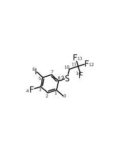 Cc1cc(F)c(I)cc1SCC(F)(F)F